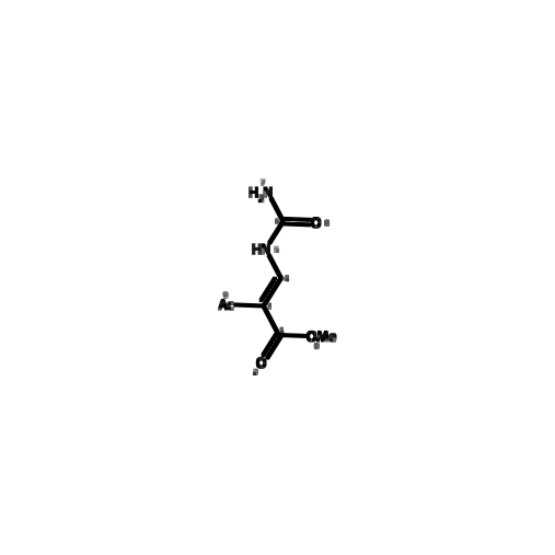 COC(=O)C(=CNC(N)=O)C(C)=O